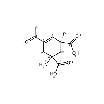 CC(=O)C1=C[C@@](C)(C(=O)O)CC(N)(C(=O)O)C1